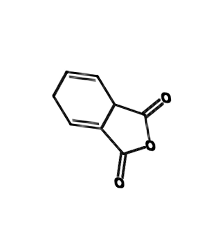 O=C1OC(=O)C2C=CCC=C12